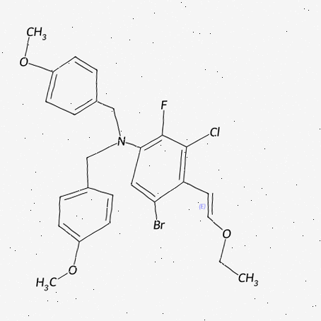 CCO/C=C/c1c(Br)cc(N(Cc2ccc(OC)cc2)Cc2ccc(OC)cc2)c(F)c1Cl